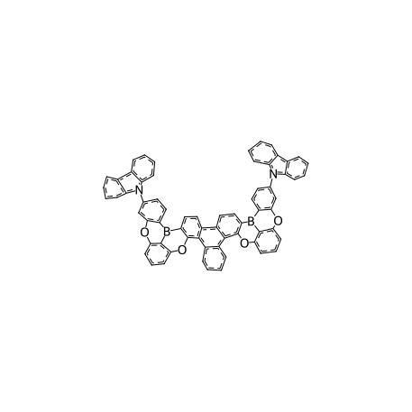 c1cc2c3c(c1)Oc1c(ccc4c5ccc6c(c5c5ccccc5c14)Oc1cccc4c1B6c1ccc(-n5c6ccccc6c6ccccc65)cc1O4)B3c1ccc(-n3c4ccccc4c4ccccc43)cc1O2